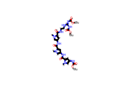 Cn1cc(NC(=O)c2cc(NC(=O)c3cc(NC(=O)OC(C)(C)C)cn3C)cn2C)cc1C(=O)NCCNC(=NC(=O)OC(C)(C)C)NC(=O)OC(C)(C)C